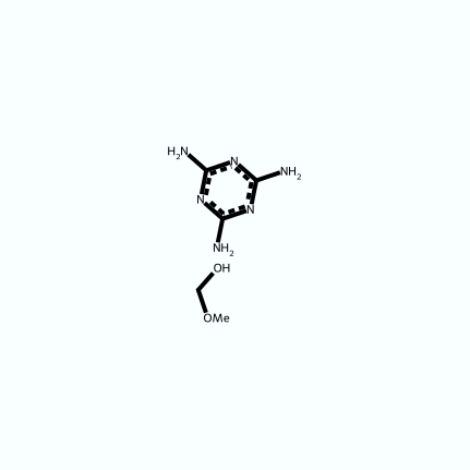 COCO.Nc1nc(N)nc(N)n1